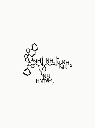 N=C(N)NCCC[C@H](NC(=O)[C@@H](N)CCCNC(=N)N)C(=O)NC(C(=O)OCc1ccccc1)c1cc2ccccc2oc1=O